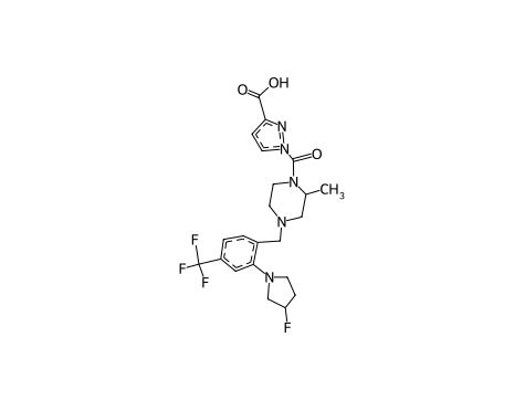 CC1CN(Cc2ccc(C(F)(F)F)cc2N2CCC(F)C2)CCN1C(=O)n1ccc(C(=O)O)n1